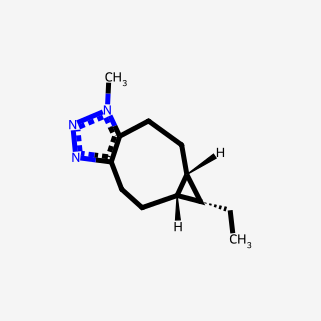 CC[C@H]1[C@H]2CCc3c(nnn3C)CC[C@@H]12